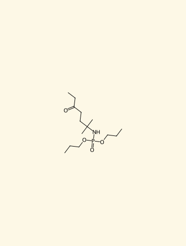 CCCOP(=O)(NC(C)(C)CCC(=O)CC)OCCC